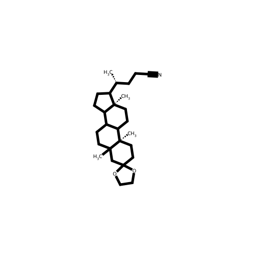 C[C@H](CCC#N)C1CCC2C3CCC4(C)CC5(CC[C@]4(C)C3CC[C@@]21C)OCCO5